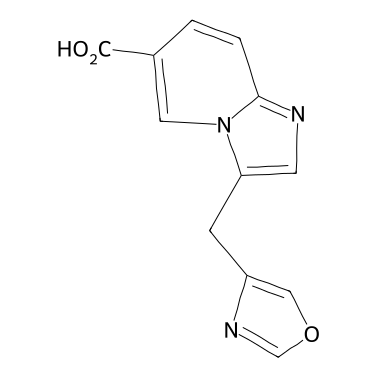 O=C(O)c1ccc2ncc(Cc3cocn3)n2c1